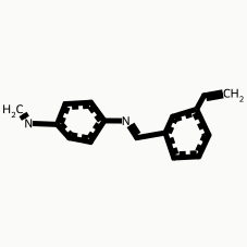 C=Cc1cccc(C=Nc2ccc(N=C)cc2)c1